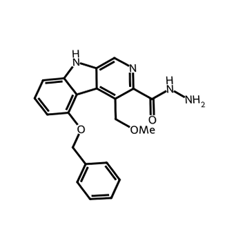 COCc1c(C(=O)NN)ncc2[nH]c3cccc(OCc4ccccc4)c3c12